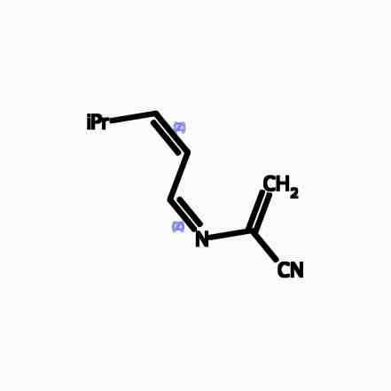 C=C(C#N)/N=C\C=C/C(C)C